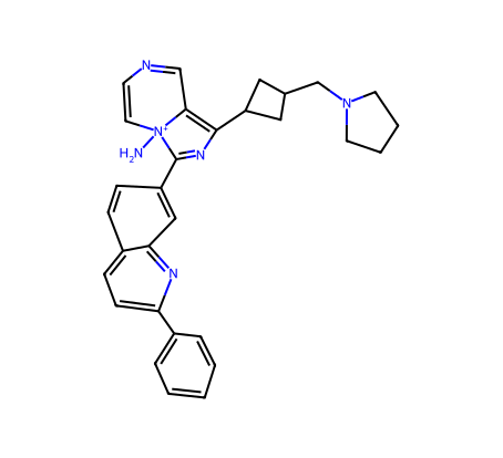 N[N+]12C=CN=CC1=C(C1CC(CN3CCCC3)C1)N=C2c1ccc2ccc(-c3ccccc3)nc2c1